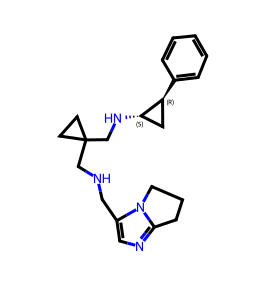 c1ccc([C@H]2C[C@@H]2NCC2(CNCc3cnc4n3CCC4)CC2)cc1